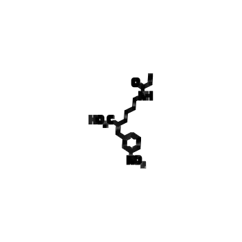 C=CC(=O)NCCCC/C(=C\c1cccc([N+](=O)[O-])c1)C(=O)O